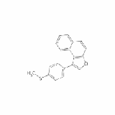 CSc1ccc(-c2coc3ccc4ccccc4c23)cc1